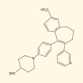 O=CC1CCN(c2ccc(C3=C(c4cccnc4)CCCc4cc(C(=O)O)ccc43)cc2)CC1